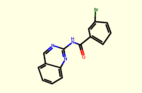 O=C(Nc1ncc2ccccc2n1)c1cccc(Br)c1